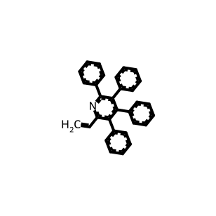 C=Cc1nc(-c2ccccc2)c(-c2ccccc2)c(-c2ccccc2)c1-c1ccccc1